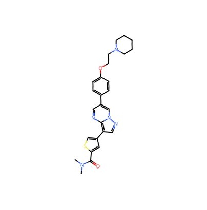 CN(C)C(=O)c1cc(-c2cnn3cc(-c4ccc(OCCN5CCCCC5)cc4)cnc23)cs1